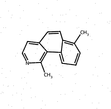 Cc1cccc2c1ccc1ccnc(C)c12